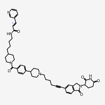 O=C(/C=C/c1cccnc1)NCCCCC1CCN(C(=O)c2ccc(C3CCN(CCCCC#Cc4ccc5c(c4)CN(C4CCC(=O)NC4=O)C5=O)CC3)cc2)CC1